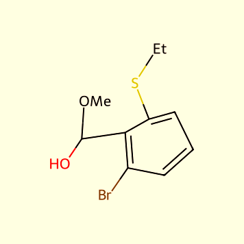 CCSc1cccc(Br)c1C(O)OC